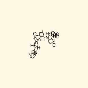 Cc1cc([C@@H](C)Nc2ccc(Cl)nc2C(=O)NS(C)(=O)=O)c2nc(N3C[C@@H]4C(c5cc6ncccn6n5)[C@@H]4C3)n(C)c(=O)c2c1